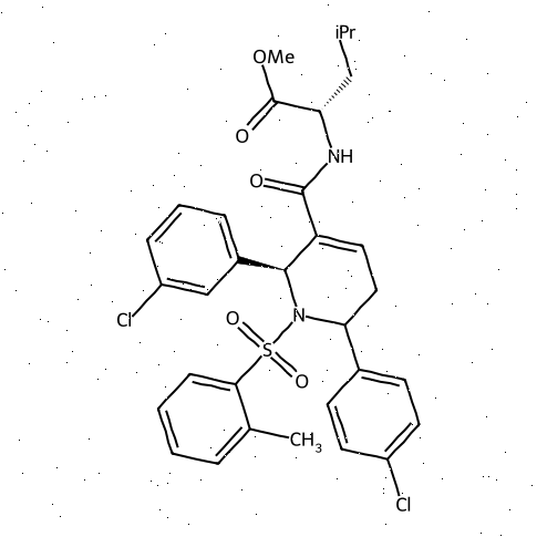 COC(=O)[C@H](CC(C)C)NC(=O)C1=CCC(c2ccc(Cl)cc2)N(S(=O)(=O)c2ccccc2C)[C@H]1c1cccc(Cl)c1